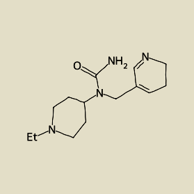 CCN1CCC(N(CC2=CCCN=C2)C(N)=O)CC1